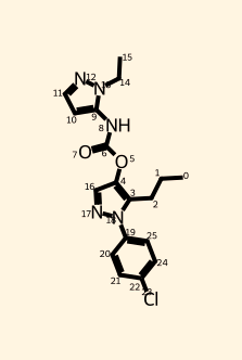 CCCc1c(OC(=O)Nc2ccnn2CC)cnn1-c1ccc(Cl)cc1